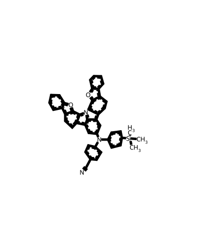 C[Si](C)(C)c1ccc(N(c2ccc(C#N)cc2)c2cc3c4ccc5c6ccccc6oc5c4n4c3c(c2)c2ccc3c5ccccc5oc3c24)cc1